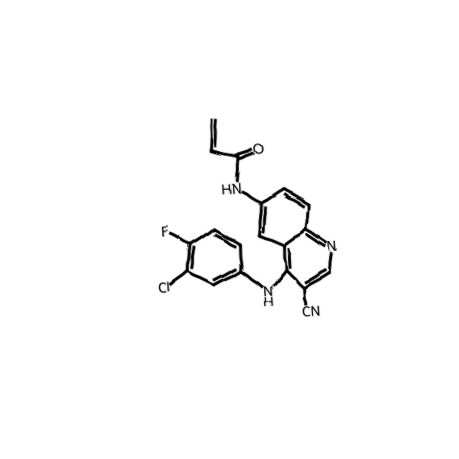 C=CC(=O)Nc1ccc2ncc(C#N)c(Nc3ccc(F)c(Cl)c3)c2c1